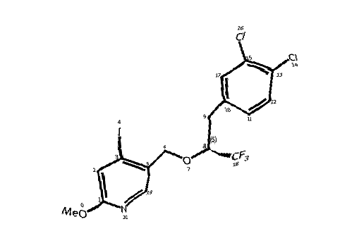 COc1cc(I)c(CO[C@@H](Cc2ccc(Cl)c(Cl)c2)C(F)(F)F)cn1